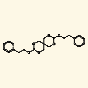 c1ccc(CCOP2OCC3(CO2)COP(OCCc2ccccc2)OC3)cc1